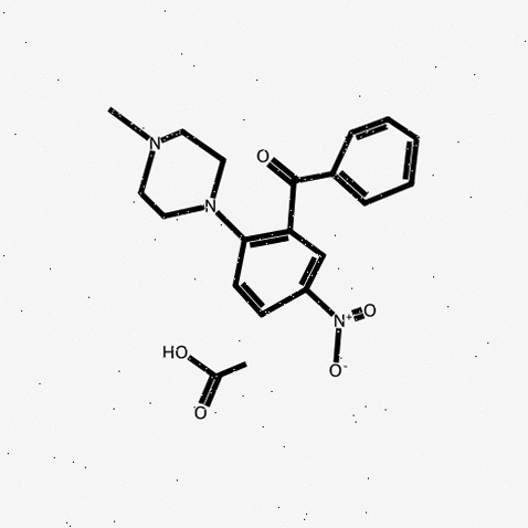 CC(=O)O.CN1CCN(c2ccc([N+](=O)[O-])cc2C(=O)c2ccccc2)CC1